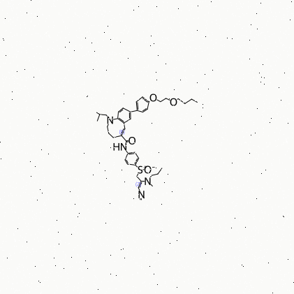 C=N/C=C(/C[S+]([O-])c1ccc(NC(=O)/C2=C/c3cc(-c4ccc(OCCOCCCC)cc4)ccc3N(CC(C)C)CCC2)cc1)N(C)CCC